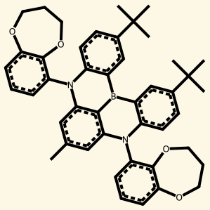 Cc1cc2c3c(c1)N(c1cccc4c1OCCCO4)c1ccc(C(C)(C)C)cc1B3c1cc(C(C)(C)C)ccc1N2c1cccc2c1OCCCO2